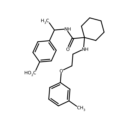 Cc1cccc(OCCNC2(C(=O)NC(C)c3ccc(C(=O)O)cc3)CCCCC2)c1